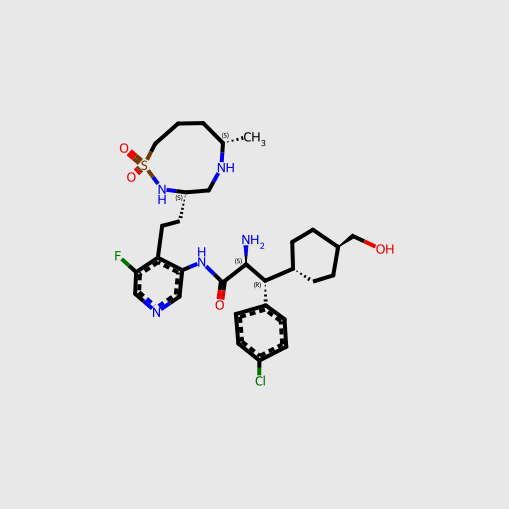 C[C@H]1CCCS(=O)(=O)N[C@@H](CCc2c(F)cncc2NC(=O)[C@@H](N)[C@@H](c2ccc(Cl)cc2)[C@H]2CC[C@H](CO)CC2)CN1